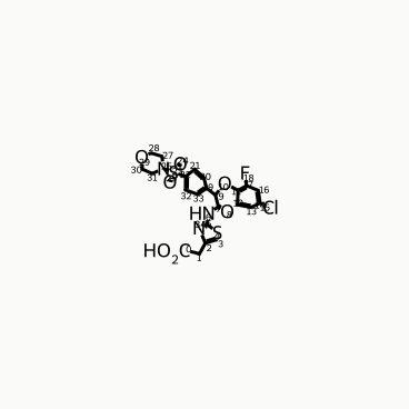 O=C(O)Cc1csc(NC(=O)C(Oc2ccc(Cl)cc2F)c2ccc(S(=O)(=O)N3CCOCC3)cc2)n1